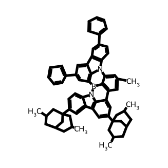 Cc1cc2c3c(c1)-n1c4ccc(-c5ccccc5)cc4c4cc(-c5ccccc5)cc(c41)B3n1c3ccc(C45CC(C)CC(CC(C)C4)C5)cc3c3cc(C45CC(C)CC(CC(C)C4)C5)cc-2c31